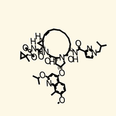 COc1ccc2c(O[C@@H]3C[C@H]4C(=O)N[C@]5(C(=O)NS(=O)(=O)C6(C)CC6)C[C@H]5C=CCCCCC[C@H](NC(=O)c5ccn(CC(C)C)n5)C(=O)N4C3)cc(OC(C)C)nc2c1C